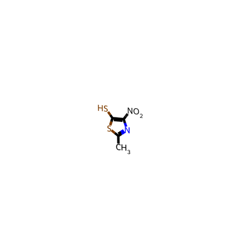 Cc1nc([N+](=O)[O-])c(S)s1